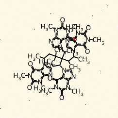 CCC(n1cnc2c1c(=O)n(C)c(=O)n2C)C(C(C)C(C)n1cnc2c1c(=O)n(C)c(=O)n2C)(C(C)n1cnc2c1c(=O)n(C)c(=O)n2C)C(C)(C)CC(C)n1cnc2c1c(=O)n(C)c(=O)n2C